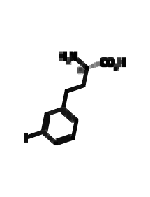 N[C@@H](CCc1cccc(I)c1)C(=O)O